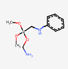 CO[Si](CNc1ccccc1)(OC)OCN